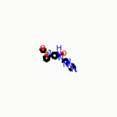 CN1CCN(c2ncc(N3C[C@]4(CC[C@](c5ccccc5)(N(C)SC5CCOC5)CC4)NC3=O)cn2)CC1